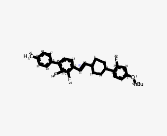 CCCCOc1ccc(C2CCC(/C=C/c3ccc(-c4ccc(C)cc4)c(F)c3F)CC2)c(F)c1